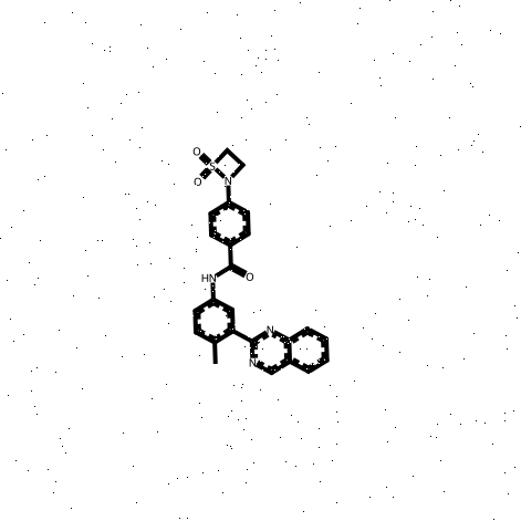 Cc1ccc(NC(=O)c2ccc(N3CCS3(=O)=O)cc2)cc1-c1ncc2ccccc2n1